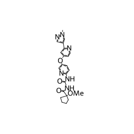 COC1(C(=O)NC(=O)Nc2ccc(Oc3ccnc(-c4cnn(C)c4)c3)cn2)CCCC1